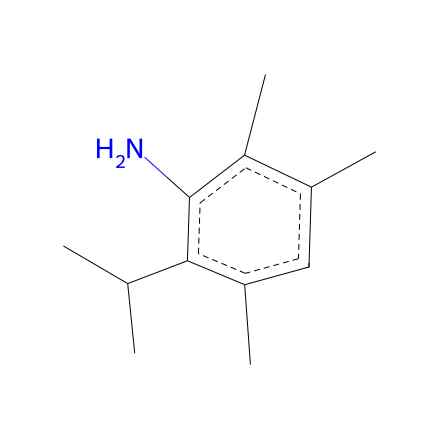 Cc1cc(C)c(C(C)C)c(N)c1C